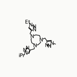 CCn1cc(CN2CCN(Cc3cn(C)nn3)CCN(Cc3cn(C(C)C)nn3)CC2)nn1